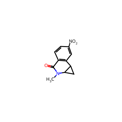 CN1C(=O)c2ccc([N+](=O)[O-])cc2C2CC21